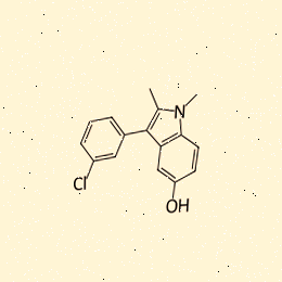 Cc1c(-c2cccc(Cl)c2)c2cc(O)ccc2n1C